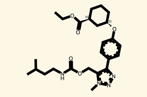 CCOC(=O)[C@H]1CCC[C@H](Oc2ccc(-c3nnn(C)c3COC(=O)NCCC(C)C)cc2)C1